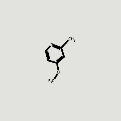 Cc1cc(OC(F)(F)F)ccn1